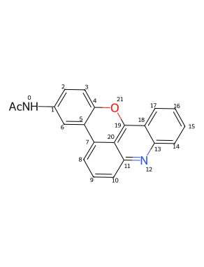 CC(=O)Nc1ccc2c(c1)-c1cccc3nc4ccccc4c(c13)O2